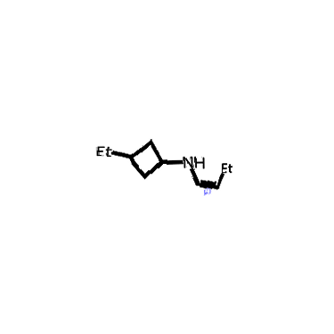 CC/C=C\NC1CC(CC)C1